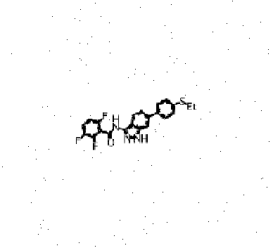 CCSc1ccc(-c2ccc3c(NC(=O)c4c(F)ccc(F)c4F)n[nH]c3c2)cc1